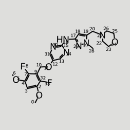 COc1cc(OC)c(F)c(COc2cnc(Nc3cc(CN4CCOCC4)n(C)n3)nc2)c1F